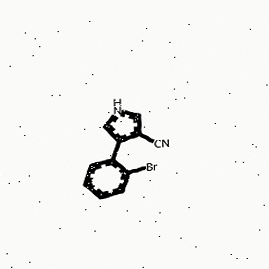 N#Cc1c[nH]cc1-c1ccccc1Br